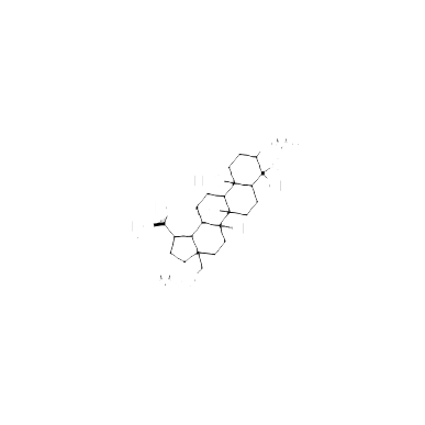 C=C(C)C1CCC2(COC)CCC3(C)C(CCC4C5(C)CCC(OC)C(C)(C)C5CCC43C)C12